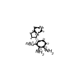 CCCCc1c([C@@H]2CCc3cncn32)ccc(N)c1N